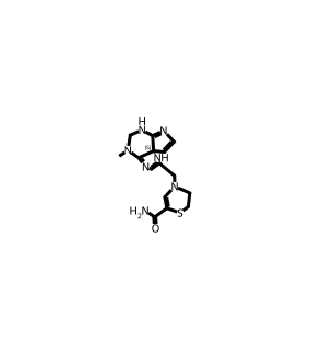 CN1CNC2=NC=C[C@]23NC(CN2C=C(C(N)=O)SCC2)=CN=C13